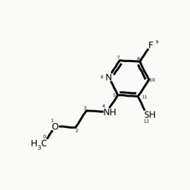 COCCNc1ncc(F)cc1S